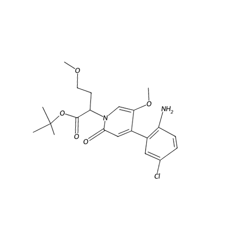 COCCC(C(=O)OC(C)(C)C)n1cc(OC)c(-c2cc(Cl)ccc2N)cc1=O